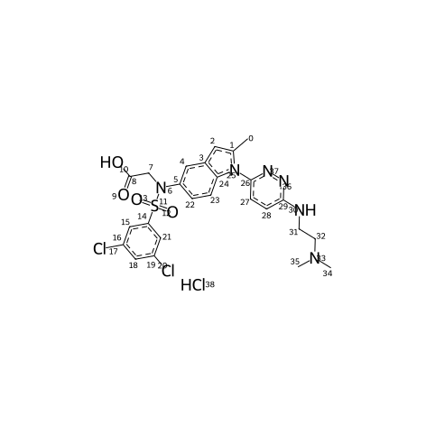 Cc1cc2cc(N(CC(=O)O)S(=O)(=O)c3cc(Cl)cc(Cl)c3)ccc2n1-c1ccc(NCCN(C)C)nn1.Cl